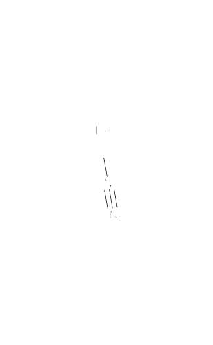 N#[N+][O-].[He]